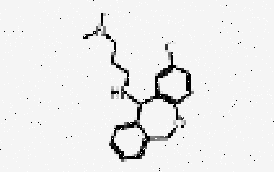 CN(C)CCCNC1c2ccccc2COc2ccc(Cl)cc21